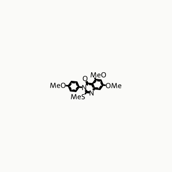 COc1ccc(-n2c(SC)nc3cc(OC)cc(OC)c3c2=O)cc1